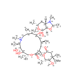 CC[C@H]1OC(=O)[C@H](C)[C@@H](O[C@H]2C[C@@](C)(OC)[C@]3(CO3)[C@H](C)O2)[C@H](C)[C@@H](O[C@@H]2O[C@H](C)C[C@H]3[C@H]2OC(C(F)(F)F)N3C)[C@](C)(O)C[C@@H](C)CN(C)[C@H](C)[C@@H](O)[C@]1(C)O